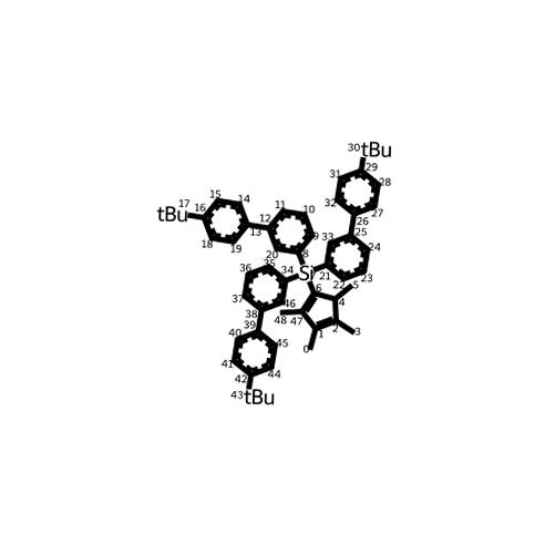 CC1=C(C)C(C)C([Si](c2cccc(-c3ccc(C(C)(C)C)cc3)c2)(c2cccc(-c3ccc(C(C)(C)C)cc3)c2)c2cccc(-c3ccc(C(C)(C)C)cc3)c2)=C1C